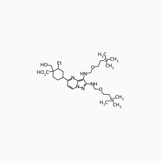 CCC1CC(c2ccn3nc(NCOCC[Si](C)(C)C)c(NCOCC[Si](C)(C)C)c3n2)CCC1(CO)C(=O)O